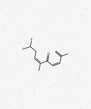 C=C(C)/C=C\C(=O)/C(C)=C\CC(F)F